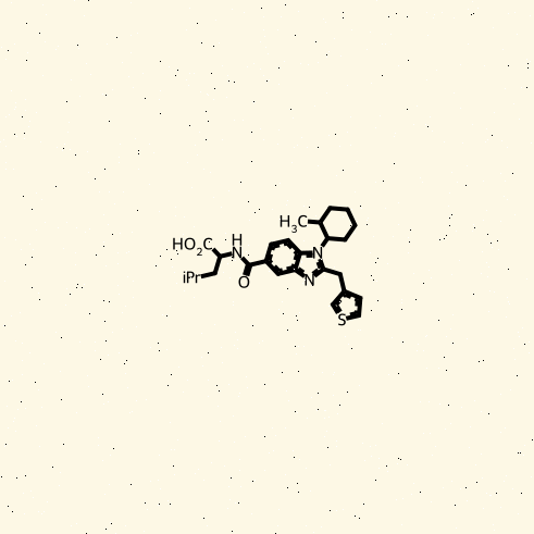 CC(C)CC(NC(=O)c1ccc2c(c1)nc(Cc1ccsc1)n2C1CCCCC1C)C(=O)O